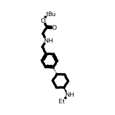 CCN[C@H]1CC[C@H](c2ccc(CNCC(=O)OC(C)(C)C)cc2)CC1